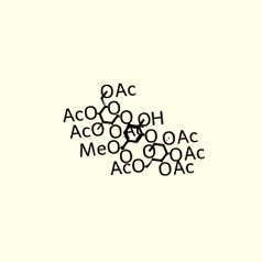 COC(=O)c1cc(OC2O[C@H](COC(C)=O)[C@H](OC(C)=O)[C@H](OC(C)=O)[C@H]2OC(C)=O)c(O)c(OC2O[C@H](COC(C)=O)[C@H](OC(C)=O)[C@H](OC(C)=O)[C@H]2OC(C)=O)c1